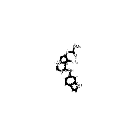 COC(=O)Oc1cn2ncnc(Nc3ccc4cc[nH]c4c3)c2c1C